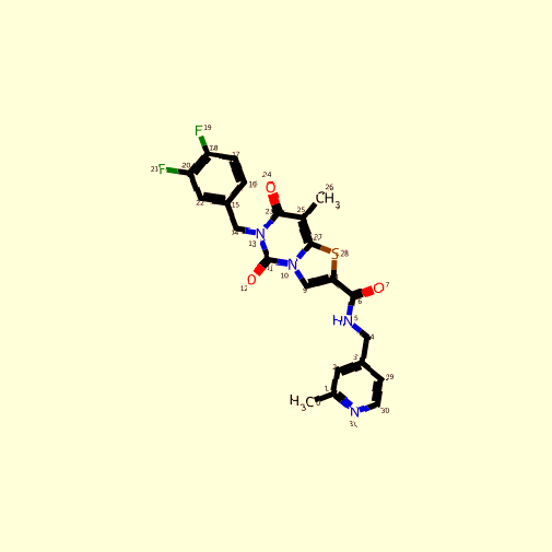 Cc1cc(CNC(=O)c2cn3c(=O)n(Cc4ccc(F)c(F)c4)c(=O)c(C)c3s2)ccn1